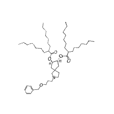 CCCCCCCC(CCCCCCC)C(=O)O[C@@H]1CC2(CCN(CCCOCc3ccccc3)C2)C[C@H]1OC(=O)C(CCCCCCC)CCCCCCC